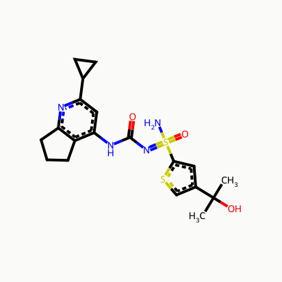 CC(C)(O)c1csc(S(N)(=O)=NC(=O)Nc2cc(C3CC3)nc3c2CCC3)c1